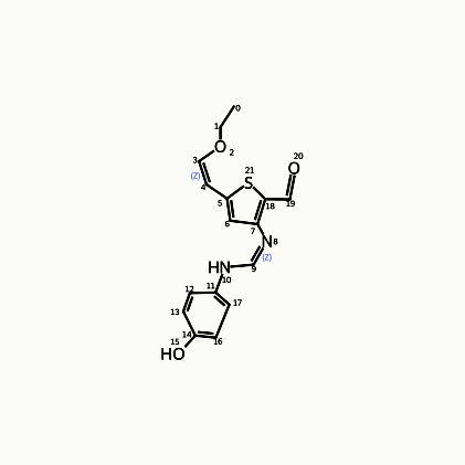 CCO/C=C\c1cc(/N=C\Nc2ccc(O)cc2)c(C=O)s1